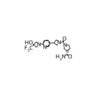 NC(=O)[C@H]1CCN(C(=O)N2CC(c3ccc(N4CC(O)(C(F)(F)F)C4)nc3)C2)C1